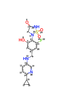 O=C1CN(c2c(O)cc(CNc3ccc(C4CC4)nc3)cc2F)S(=O)(=O)N1